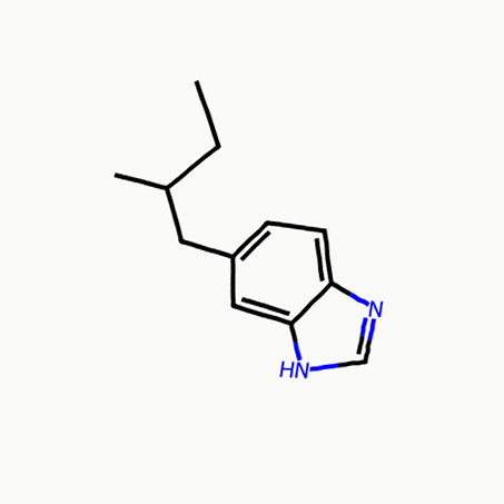 CCC(C)Cc1ccc2nc[nH]c2c1